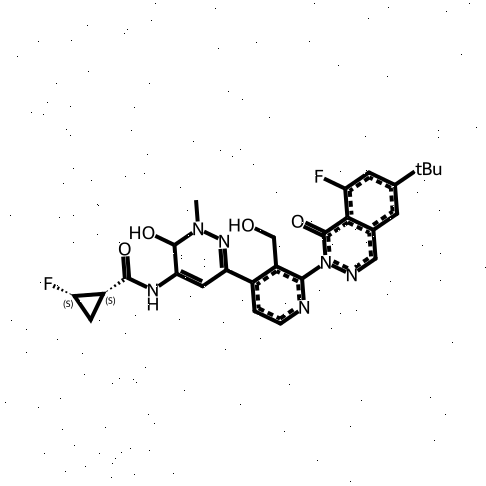 CN1N=C(c2ccnc(-n3ncc4cc(C(C)(C)C)cc(F)c4c3=O)c2CO)C=C(NC(=O)[C@@H]2C[C@@H]2F)C1O